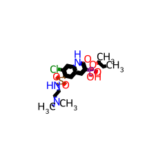 CCC(C)OP(=O)(O)c1cc2cc(S(=O)(=O)NCCN(C)C)c(Cl)cc2[nH]c1=O